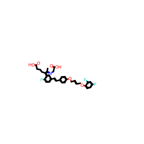 Cc1c(CCCC(=O)O)c2c(F)ccc(C=Cc3ccc(OCC=CCOc4ccc(F)cc4F)cc3)c2n1CC(=O)O